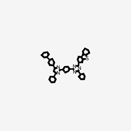 c1ccc(-c2ccc(-c3cc(-c4ccccc4)nc(-c4ccc(-c5nc(-c6ccccc6)nc(-c6ccc7c(c6)sc6ccccc67)n5)cc4)n3)cc2)cc1